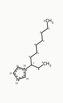 CCCCCCCC(CC)n1ccnc1